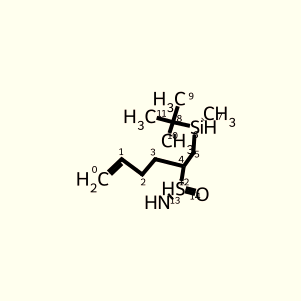 C=CCCC(C[SiH](C)C(C)(C)C)[SH](=N)=O